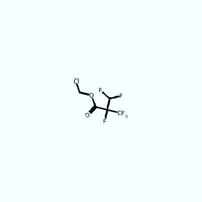 O=C(OCCl)C(F)(C(F)F)C(F)(F)F